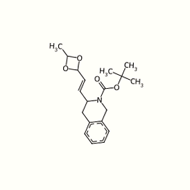 CC1OC(/C=C/C2Cc3ccccc3CN2C(=O)OC(C)(C)C)O1